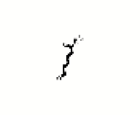 COC(=O)C=CC=C[C]=O